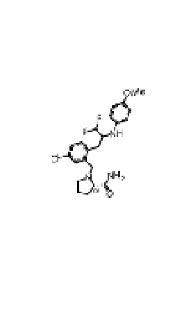 COc1ccc(NC(Cc2ccc(Cl)cc2CN2CCC[C@H]2C(N)=O)C(F)F)cc1